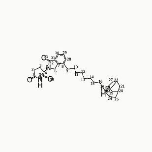 O=C1CCC(N2Cc3c(CCCCCCCCNC45CC6CC(CC(C6)C4)C5)cccc3C2=O)C(=O)N1